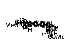 COC(=O)N[C@H](C(=O)N1CCC[C@H]1c1ncc(-c2ccc(-c3ccc(-c4cnc([C@@H]5C[Si](C)(C)CN5C(=O)[C@@H](NC(=O)OC)C(C)C)[nH]4)cc3)cc2)[nH]1)C(C)C